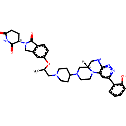 CC(CN1CCC(N2CCN3c4cc(-c5ccccc5O)nnc4NC[C@H]3C2)CC1)Oc1ccc2c(c1)CN([C@@H]1CCC(=O)NC1=O)C2=O